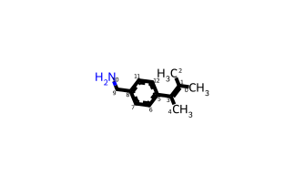 CC(C)=C(C)c1ccc(CN)cc1